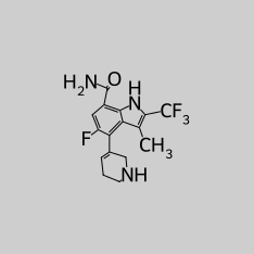 Cc1c(C(F)(F)F)[nH]c2c(C(N)=O)cc(F)c(C3=CCCNC3)c12